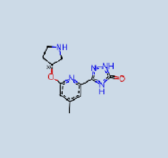 Cc1cc(O[C@H]2CCNC2)nc(-c2n[nH]c(=O)[nH]2)c1